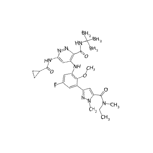 BC(B)(B)NC(=O)c1nnc(NC(=O)C2CC2)cc1Nc1cc(F)cc(-c2cc(C(=O)N(C)CC)n(C)n2)c1OC